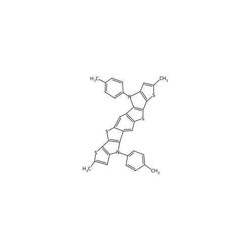 Cc1ccc(-n2c3cc(C)sc3c3sc4cc5c(cc4c32)sc2c3sc(C)cc3n(-c3ccc(C)cc3)c52)cc1